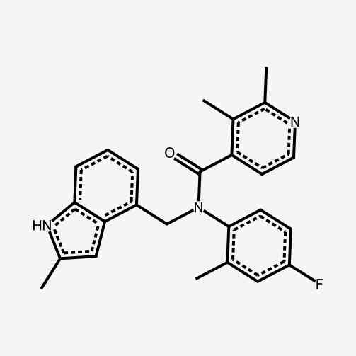 Cc1cc2c(CN(C(=O)c3ccnc(C)c3C)c3ccc(F)cc3C)cccc2[nH]1